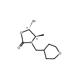 CC(C)[C@H]1OC(=O)N(CC2CCOCC2)[C@@H]1C